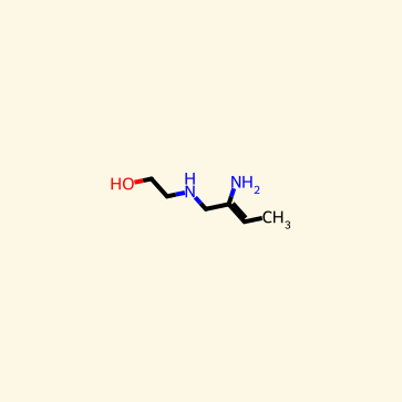 C/C=C(\N)CNCCO